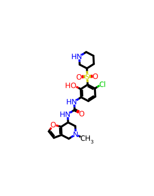 CN1Cc2ccoc2C(NC(=O)Nc2ccc(Cl)c(S(=O)(=O)C3CCCNC3)c2O)C1